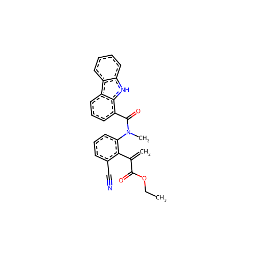 C=C(C(=O)OCC)c1c(C#N)cccc1N(C)C(=O)c1cccc2c1[nH]c1ccccc12